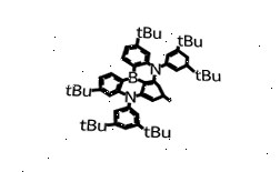 CC1C=C2C3=C(C1)N(C1=CC(C(C)(C)C)CC(C(C)(C)C)=C1)c1cc(C(C)(C)C)ccc1B3c1ccc(C(C)(C)C)cc1N2c1cc(C(C)(C)C)cc(C(C)(C)C)c1